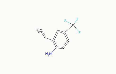 C=Cc1cc(C(F)(F)F)ccc1N